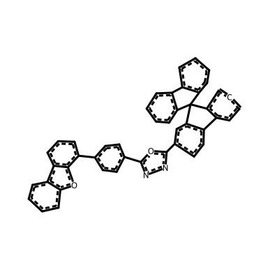 c1ccc2c(c1)-c1ccccc1C21c2ccccc2-c2ccc(-c3nnc(-c4ccc(-c5cccc6c5oc5ccccc56)cc4)o3)cc21